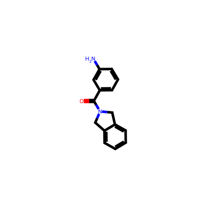 Nc1cccc(C(=O)N2Cc3ccccc3C2)c1